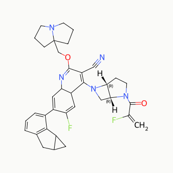 C=C(F)C(=O)N1CC[C@@H]2[C@H]1CN2C1=C(C#N)C(OCC23CCCN2CCC3)=NC2C=C(c3cccc4c3C3CC3C4)C(F)=CC12